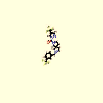 O=C(N1CCC2(CCN(Cc3cccc(C(F)(F)F)c3)C2)C1)n1cc(C(F)(F)F)cn1